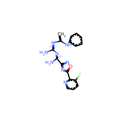 C=C(/N=C(N)\N=C(/N)c1noc(-c2ncccc2F)n1)Nc1ccccc1